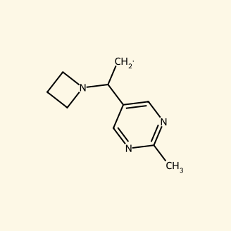 [CH2]C(c1cnc(C)nc1)N1CCC1